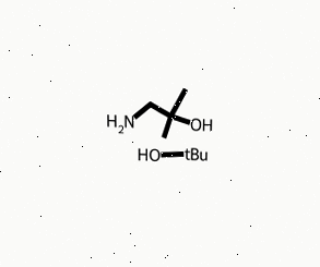 CC(C)(C)O.CC(C)(O)CN